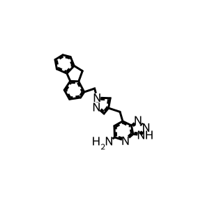 Nc1cc(Cc2cnn(Cc3cccc4c3Cc3ccccc3-4)c2)c2nn[nH]c2n1